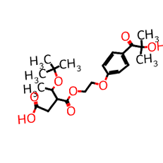 CC(OC(C)(C)C)C(CC(=O)O)C(=O)OCCOc1ccc(C(=O)C(C)(C)O)cc1